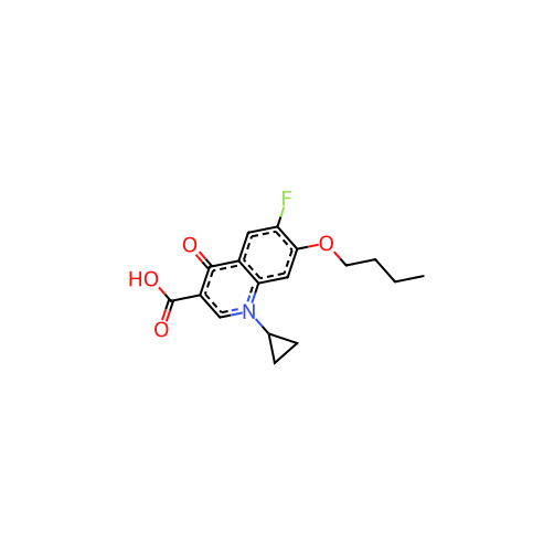 CCCCOc1cc2c(cc1F)c(=O)c(C(=O)O)cn2C1CC1